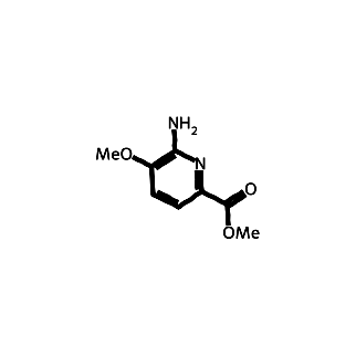 COC(=O)c1ccc(OC)c(N)n1